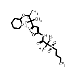 C[C@H](OC1CCCCO1)C(C)(C)c1cc(NC(=O)C(C)(C)S(=O)(=O)CCCC(F)(F)F)on1